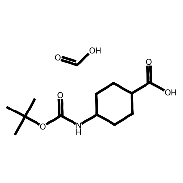 CC(C)(C)OC(=O)NC1CCC(C(=O)O)CC1.O=CO